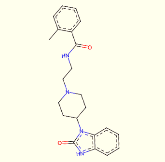 Cc1ccccc1C(=O)NCCN1CCC(n2c(=O)[nH]c3ccccc32)CC1